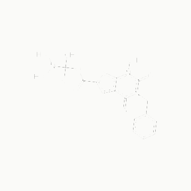 CN(C)C(C)(C)OC(=O)c1cc2c(=O)n(Cc3ccccc3)c(=O)n(C)c2s1